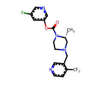 C[C@@H]1CN(Cc2cnccc2C(F)(F)F)CCN1C(=O)Oc1cncc(F)c1